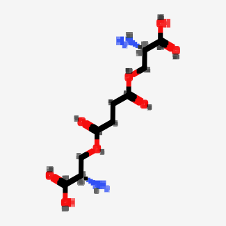 N[C@@H](COC(=O)CCC(=O)OC[C@H](N)C(=O)O)C(=O)O